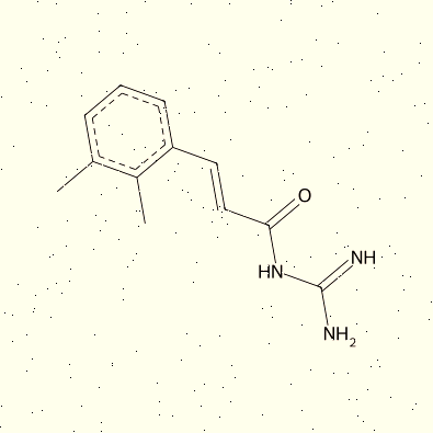 Cc1cccc(C=CC(=O)NC(=N)N)c1C